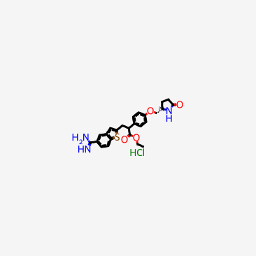 CCOC(=O)C(Cc1cc2cc(C(=N)N)ccc2s1)c1ccc(OC[C@@H]2CCC(=O)N2)cc1.Cl